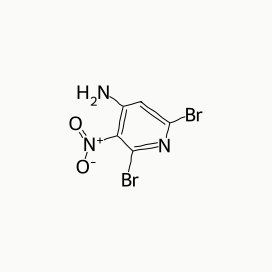 Nc1cc(Br)nc(Br)c1[N+](=O)[O-]